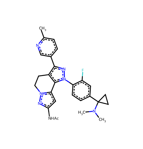 CC(=O)Nc1cc2n(n1)CCc1c(-c3ccc(C)nc3)nn(-c3ccc(C4(N(C)C)CC4)cc3F)c1-2